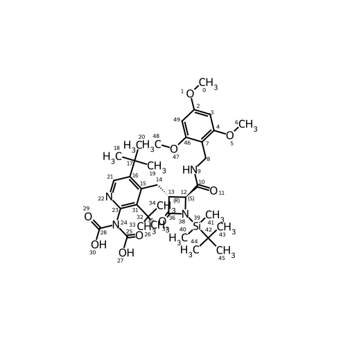 COc1cc(OC)c(CNC(=O)[C@@H]2[C@@H](Cc3c(C(C)(C)C)cnc(N(C(=O)O)C(=O)O)c3C(C)(C)C)C(=O)N2[Si](C)(C)C(C)(C)C)c(OC)c1